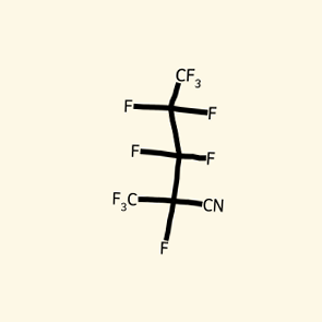 N#CC(F)(C(F)(F)F)C(F)(F)C(F)(F)C(F)(F)F